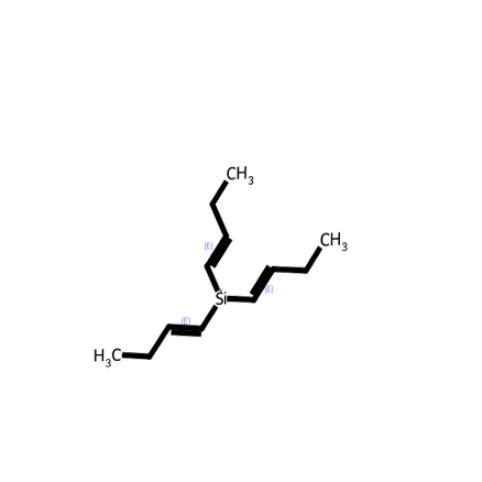 CC/C=C/[Si](/C=C/CC)/C=C/CC